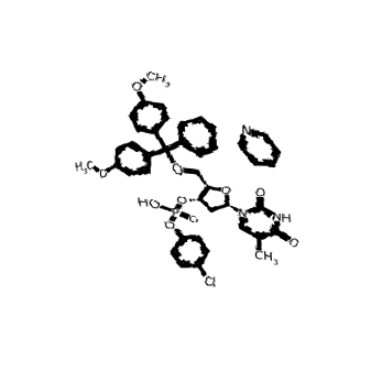 COc1ccc(C(OC[C@H]2O[C@@H](n3cc(C)c(=O)[nH]c3=O)C[C@@H]2OP(=O)(O)Oc2ccc(Cl)cc2)(c2ccccc2)c2ccc(OC)cc2)cc1.c1ccncc1